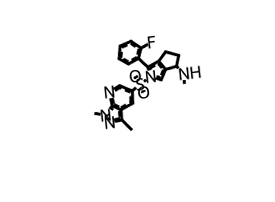 CNC1CCc2c1cn(S(=O)(=O)c1cnc3c(c1)c(C)nn3C)c2-c1ccccc1F